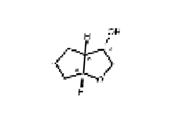 O[C@@H]1CO[C@@H]2C[CH]C[C@H]12